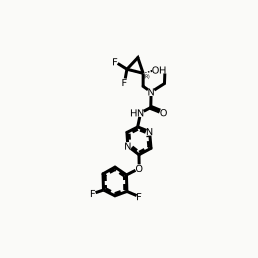 CCN(C[C@]1(O)CC1(F)F)C(=O)Nc1cnc(Oc2ccc(F)cc2F)cn1